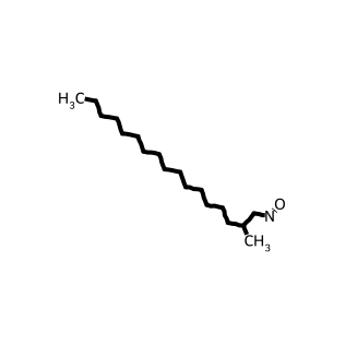 CCCCCCCCCCCCCCCC(C)CN=O